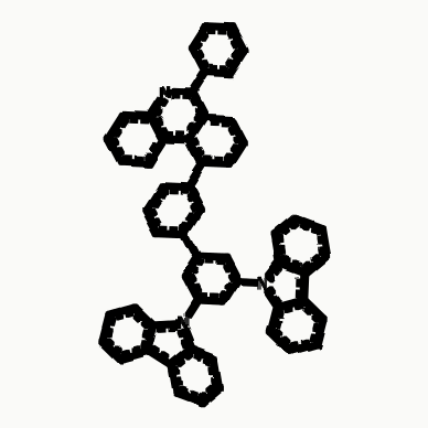 c1ccc(-c2nc3ccccc3c3c(-c4cccc(-c5cc(-n6c7ccccc7c7ccccc76)cc(-n6c7ccccc7c7ccccc76)c5)c4)cccc23)cc1